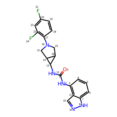 O=C(Nc1cccc2[nH]ncc12)NC1C2CN(c3ccc(F)cc3F)CC21